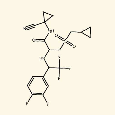 N#CC1(NC(=O)[C@H](CS(=O)(=O)CC2CC2)NC(c2ccc(F)c(F)c2)C(F)(F)F)CC1